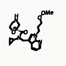 COOCCCN1C=C(CN(C(=O)[C@H]2CNCCO2)C2CC2)C2C=CC=NC21